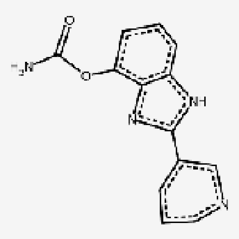 NC(=O)Oc1cccc2[nH]c(-c3cccnc3)nc12